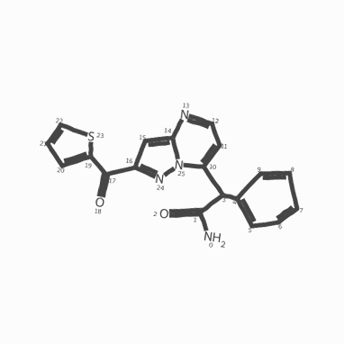 NC(=O)C(c1ccccc1)c1ccnc2cc(C(=O)c3cccs3)nn12